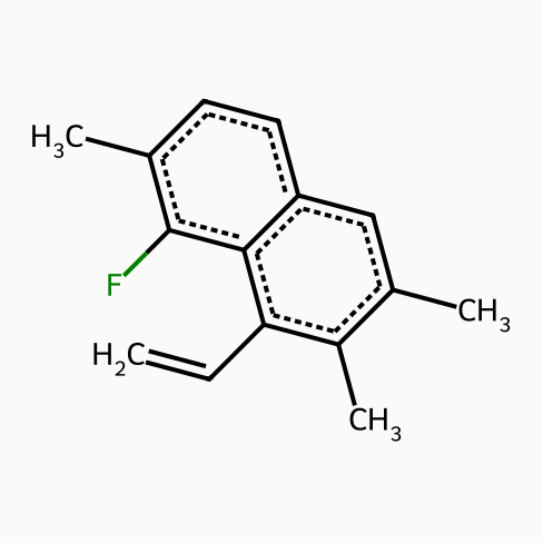 C=Cc1c(C)c(C)cc2ccc(C)c(F)c12